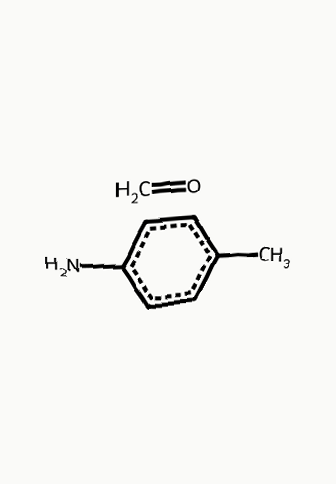 C=O.Cc1ccc(N)cc1